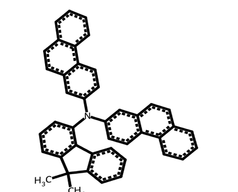 CC1(C)c2ccccc2-c2c(N(c3ccc4c(ccc5ccccc54)c3)c3ccc4c(ccc5ccccc54)c3)cccc21